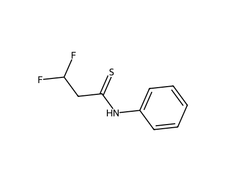 FC(F)CC(=S)Nc1ccccc1